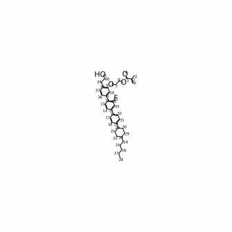 C=C(C)C(=O)OCCOc1cc(-c2ccc(-c3ccc(C4CCC(CCCCC)CC4)cc3)cc2F)ccc1CCO